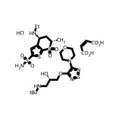 CC(C)(C)NC[C@H](O)COc1nsnc1N1CCOCC1.CCN[C@H]1C[C@H](C)S(=O)(=O)c2sc(S(N)(=O)=O)cc21.Cl.O=C(O)/C=C\C(=O)O